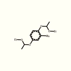 CCOC(C)Oc1ccc(OC(C)OCC)c(C(C)CC)c1